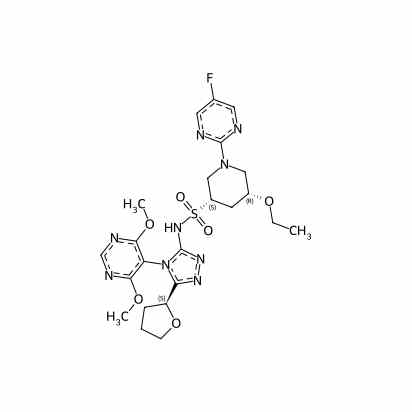 CCO[C@@H]1C[C@H](S(=O)(=O)Nc2nnc([C@@H]3CCCO3)n2-c2c(OC)ncnc2OC)CN(c2ncc(F)cn2)C1